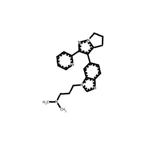 CN(C)CCCn1cnc2ccc(-c3c(-c4ccccn4)nn4c3CCC4)cc21